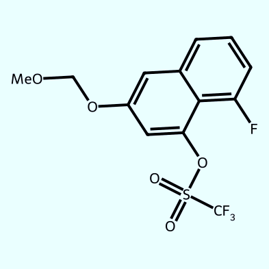 COCOc1cc(OS(=O)(=O)C(F)(F)F)c2c(F)cccc2c1